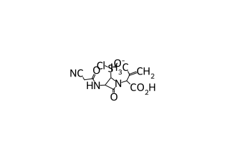 C=C(C)C(C(=O)O)N1C(=O)C(NC(=O)CC#N)C1[S+]([O-])Cl